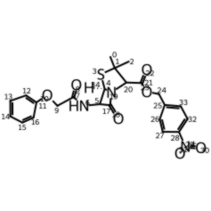 CC1(C)S[C@@H]2C(NC(=O)COc3ccccc3)C(=O)N2C1C(=O)OCc1ccc([N+](=O)[O-])cc1